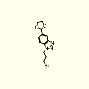 BrCCCn1nnc2cc(C3OCCO3)ccc21